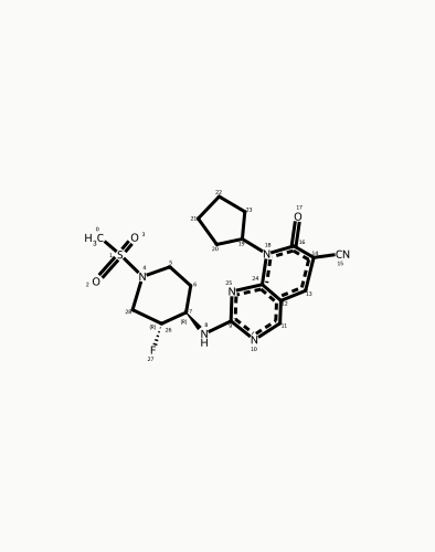 CS(=O)(=O)N1CC[C@@H](Nc2ncc3cc(C#N)c(=O)n(C4CCCC4)c3n2)[C@H](F)C1